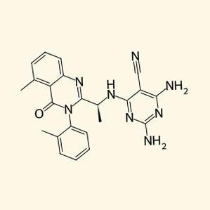 Cc1ccccc1-n1c([C@H](C)Nc2nc(N)nc(N)c2C#N)nc2cccc(C)c2c1=O